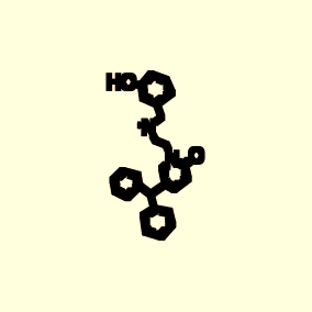 CN(CCn1cc(C(c2ccccc2)c2ccccc2)ccc1=O)Cc1cccc(O)c1